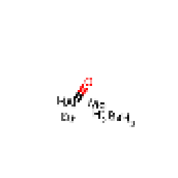 [BaH2].[Eu].[MgH2].[O]=[AlH]